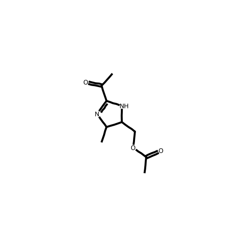 CC(=O)OCC1NC(C(C)=O)=NC1C